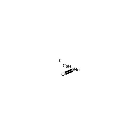 [CaH2].[O]=[Mn].[Ti]